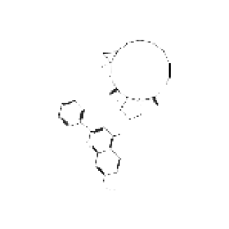 COc1ccc2c(O[C@@H]3C[C@H]4C(=O)N[C@]5(C(=O)O)C[C@H]5CCCCCCOC(=O)N4C3)cc(-c3ccccc3)nc2c1